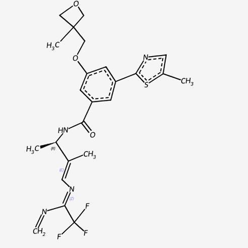 C=N/C(=N\C=C(/C)[C@@H](C)NC(=O)c1cc(OCC2(C)COC2)cc(-c2ncc(C)s2)c1)C(F)(F)F